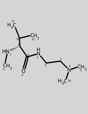 CN[C@@H](C(=O)NCCN(C)C)C(C)C